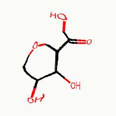 O=C(O)C1OCC(O)C1O